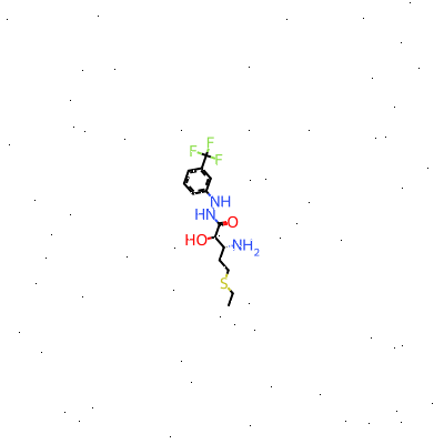 CCSCC[C@@H](N)C(O)C(=O)NNc1cccc(C(F)(F)F)c1